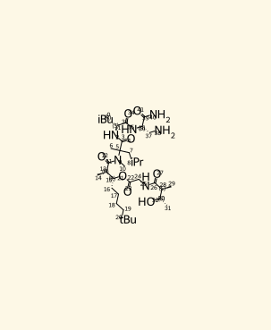 CC[C@@H](C)[C@H](NC(=O)C(C)(CC(C)C)N(C)C(=O)[C@H](C)[C@@H](CCCCC(C)(C)C)OC(=O)CNC(=O)[C@@H](C)[C@H](C)O)C(=O)N[C@@H](CN)C(N)=O